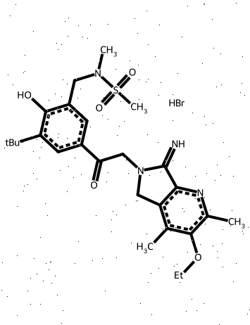 Br.CCOc1c(C)nc2c(c1C)CN(CC(=O)c1cc(CN(C)S(C)(=O)=O)c(O)c(C(C)(C)C)c1)C2=N